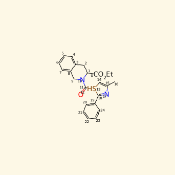 CCOC(=O)C1Cc2ccccc2CN1C(=O)[SH]1C=C(C)N=C1c1ccccc1